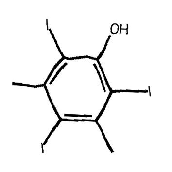 Cc1c(I)c(C)c(I)c(O)c1I